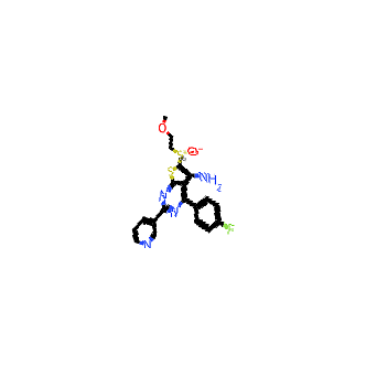 COCC[S@+]([O-])c1sc2nc(-c3cccnc3)nc(-c3ccc(F)cc3)c2c1N